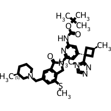 CSc1cc(CN2CCC[C@H](C)C2)cc2c1CN(c1cc([C@]3(c4nncn4C)C[C@@H](C)C3)cc(NC(=O)OC(C)(C)C)n1)C2=O